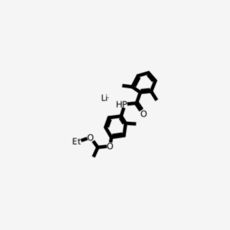 CCOC(C)Oc1ccc(PC(=O)c2c(C)cccc2C)c(C)c1.[Li]